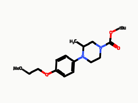 COCCOc1ccc(N2CCN(C(=O)OC(C)(C)C)CC2C)cc1